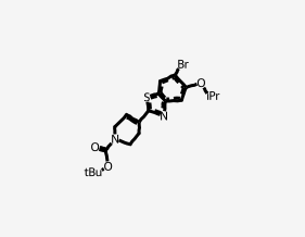 CC(C)Oc1cc2nc(C3=CCN(C(=O)OC(C)(C)C)CC3)sc2cc1Br